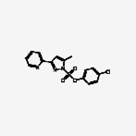 Cc1cc(-c2ccccn2)nn1S(=O)(=O)Oc1ccc(Cl)cc1